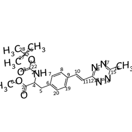 COC(=O)C(Cc1ccc(/C=C/c2nnc(C)nn2)cc1)NC(=O)OC(C)(C)C